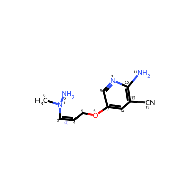 CN(N)/C=C\COc1cnc(N)c(C#N)c1